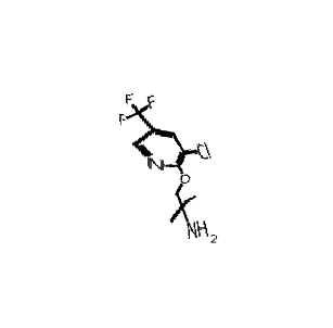 CC(C)(N)COc1ncc(C(F)(F)F)cc1Cl